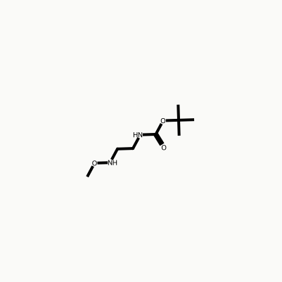 CONCCNC(=O)OC(C)(C)C